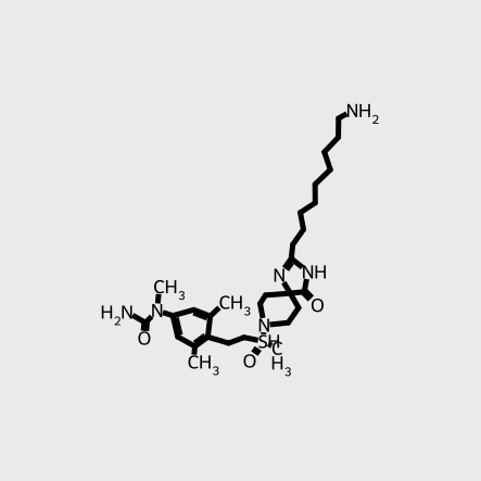 Cc1cc(N(C)C(N)=O)cc(C)c1CC[SH](C)(=O)N1CCC2(CC1)N=C(CCCCCCCCCN)NC2=O